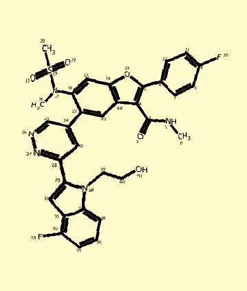 CNC(=O)c1c(-c2ccc(F)cc2)oc2cc(N(C)S(C)(=O)=O)c(-c3cnnc(-c4cc5c(F)cccc5n4CCO)c3)cc12